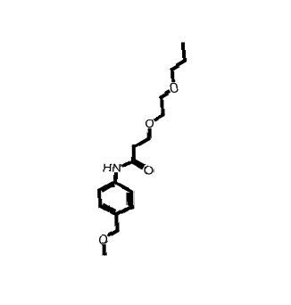 CCCOCCOCCC(=O)Nc1ccc(COC)cc1